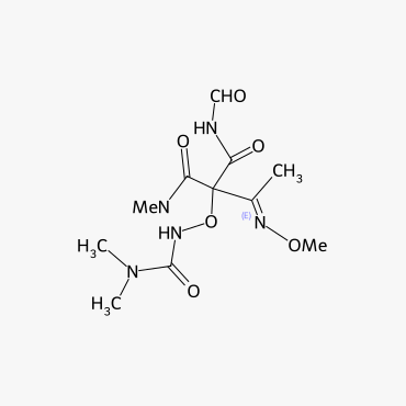 CNC(=O)C(ONC(=O)N(C)C)(C(=O)NC=O)/C(C)=N/OC